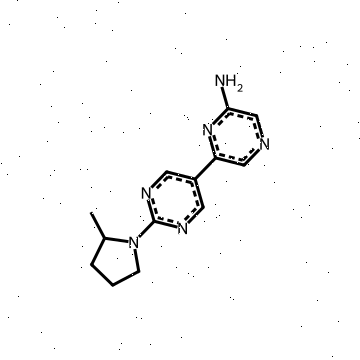 CC1CCCN1c1ncc(-c2cncc(N)n2)cn1